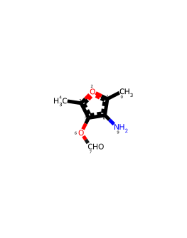 Cc1oc(C)c(OC=O)c1N